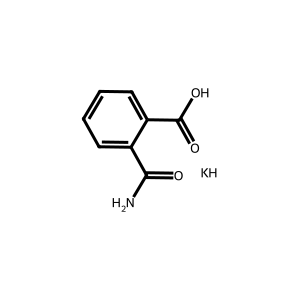 NC(=O)c1ccccc1C(=O)O.[KH]